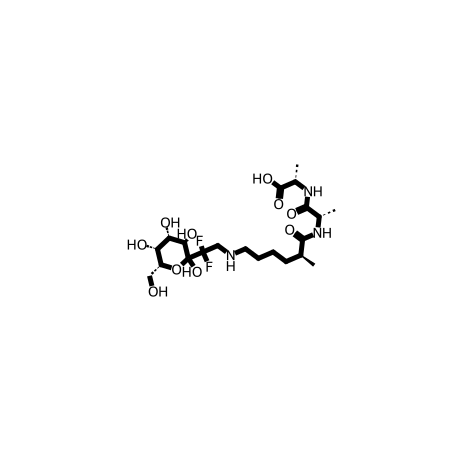 C[C@H](NC(=O)[C@H](C)NC(=O)[C@@H](C)CCCCNCC(F)(F)C1(O)O[C@H](CO)[C@H](O)[C@H](O)[C@H]1O)C(=O)O